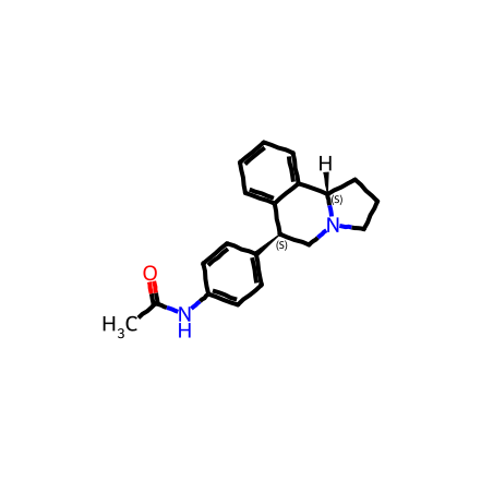 CC(=O)Nc1ccc([C@@H]2CN3CCC[C@H]3c3ccccc32)cc1